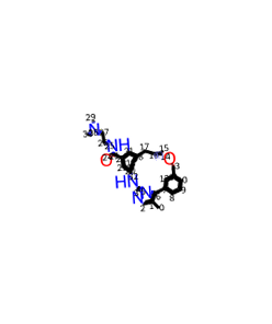 Cc1cnc2nc1-c1cccc(c1)CO/C=C/Cc1cc(cc(C(=O)NCCN(C)C)c1)N2